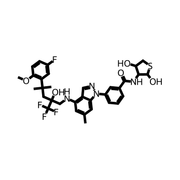 COc1ccc(F)cc1C(C)(C)CC(O)(CNc1cc(C)cc2c1cnn2-c1cccc(C(=O)NC2C(O)CSC2O)c1)C(F)(F)F